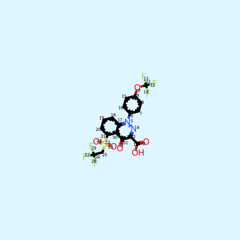 O=C(O)c1nn(-c2ccc(OC(F)(F)F)cc2)c2cccc(S(=O)(=O)CC(F)(F)F)c2c1=O